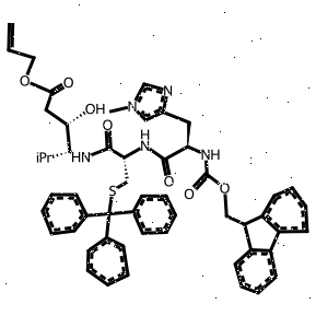 C=CCOC(=O)C[C@H](O)[C@H](NC(=O)[C@@H](CSC(c1ccccc1)(c1ccccc1)c1ccccc1)NC(=O)[C@@H](Cc1cn(C)cn1)NC(=O)OCC1c2ccccc2-c2ccccc21)C(C)C